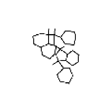 CC(C)(CC(C)(CC(C)(C1CCCCC1)C1(C)CCCC2CCCCC21)C1CCCCC1)C1CCCCC1